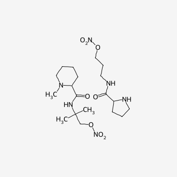 CN1CCCCC1C(=O)NC(C)(C)CO[N+](=O)[O-].O=C(NCCCO[N+](=O)[O-])C1CCCN1